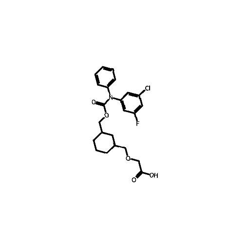 O=C(O)COCC1CCCC(COC(=O)N(c2ccccc2)c2cc(F)cc(Cl)c2)C1